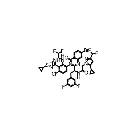 N=C(NSC1CC1)c1c(Cl)ccc(-n2c(C(Cc3cc(F)cc(F)c3)NC(=O)Cn3nc(C(F)F)cc3C3CC3)nc3cc(Br)ccc3c2=O)c1NCC(F)F